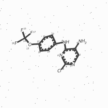 Nc1cnc(Cl)nc1Nc1ccc(OC(F)(F)F)cc1